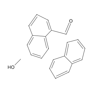 CO.O=Cc1cccc2ccccc12.c1ccc2ccccc2c1